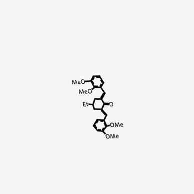 CCC1C/C(=C\c2cccc(OC)c2OC)C(=O)/C(=C/c2cccc(OC)c2OC)C1